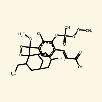 CCC1CC2CC(C)CC(C2)C12OOC2(OC)c1ccc(/C=C/C(=O)O)c(OP(=O)(O)OOC)c1Cl